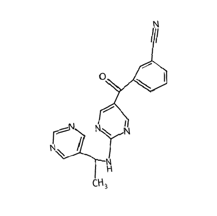 CC(Nc1ncc(C(=O)c2cccc(C#N)c2)cn1)c1cncnc1